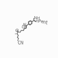 CCCCC/C=C(\C=N)c1ccc(-c2cc(CCCC(=O)[C@H](C)CCCCC#N)on2)cc1